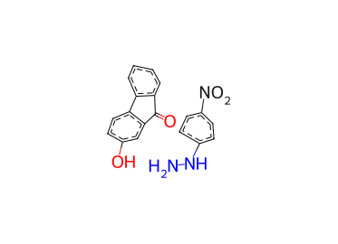 NNc1ccc([N+](=O)[O-])cc1.O=C1c2ccccc2-c2ccc(O)cc21